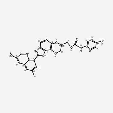 COc1cnc2c(-c3nc4ccc5c(c4s3)OC[C@H](COC(=O)Nc3ccc(Br)nc3)O5)cc(C)cc2n1